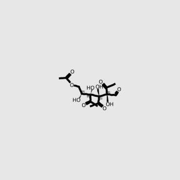 CC(=O)OC[C@@H](O)[C@](O)(C(C)=O)[C@@](O)(C(C)=O)[C@@](O)(C=O)C(C)=O